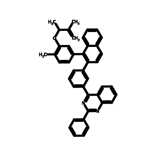 C=C(C)C(C)Oc1cc(-c2c(-c3cccc(-c4nc(-c5ccccc5)nc5ccccc45)c3)ccc3ccccc23)ccc1C